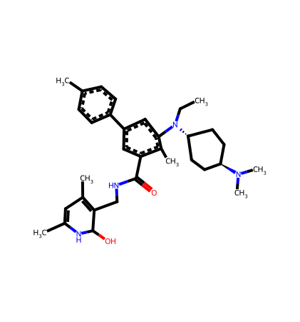 CCN(c1cc(-c2ccc(C)cc2)cc(C(=O)NCC2=C(C)C=C(C)NC2O)c1C)[C@H]1CC[C@H](N(C)C)CC1